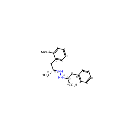 COc1ccccc1C[C@H](NN[C@@H](Cc1ccccc1)C(=O)O)C(=O)O